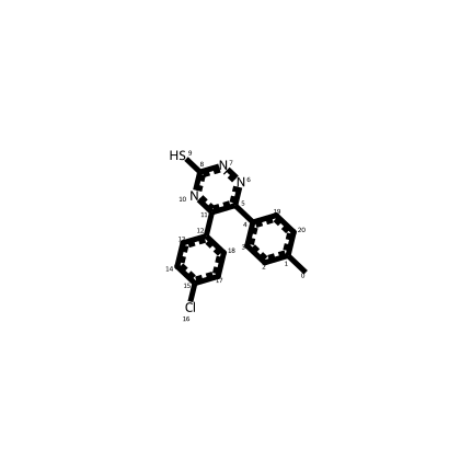 Cc1ccc(-c2nnc(S)nc2-c2ccc(Cl)cc2)cc1